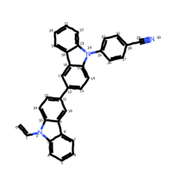 C=Cn1c2ccccc2c2cc(-c3ccc4c(c3)c3ccccc3n4-c3ccc(C#N)cc3)ccc21